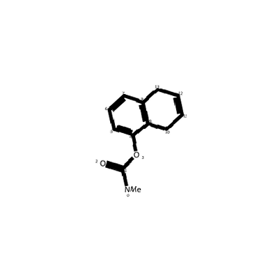 CNC(=O)Oc1cccc2c1CC=CC2